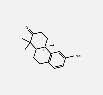 COc1ccc2c(c1)[C@]1(C)CCC(=O)C(C)(C)C1CC2